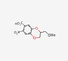 COCC1COc2cc([N+](=O)[O-])c(C(=O)O)cc2O1